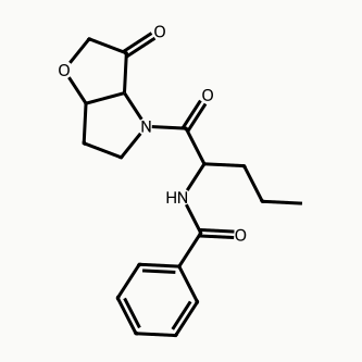 CCCC(NC(=O)c1ccccc1)C(=O)N1CCC2OCC(=O)C21